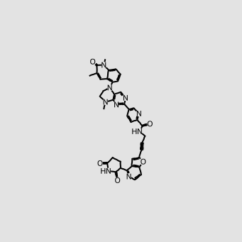 Cc1cc2c(N3CCN(C)c4nc(-c5ccc(C(=O)NCC#Cc6cc7c(C8CCC(=O)NC8=O)nccc7o6)nc5)ncc43)cccc2n(C)c1=O